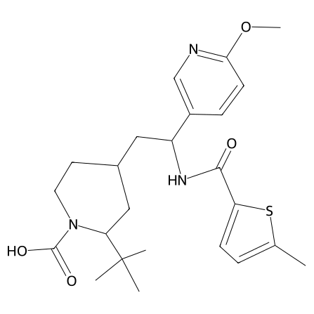 COc1ccc(C(CC2CCN(C(=O)O)C(C(C)(C)C)C2)NC(=O)c2ccc(C)s2)cn1